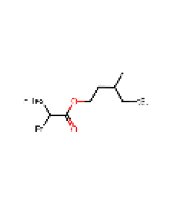 CCCCCCC(CC)C(=O)OCCC(C)CC(C)(C)C